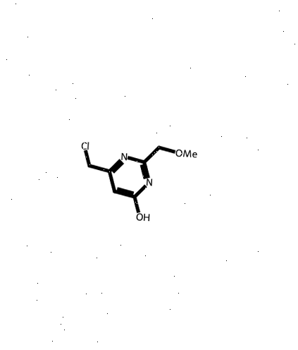 COCc1nc(O)cc(CCl)n1